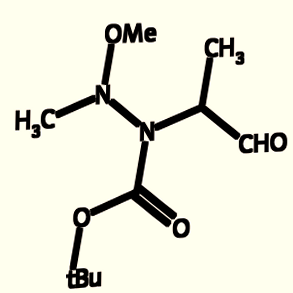 CON(C)N(C(=O)OC(C)(C)C)C(C)C=O